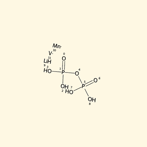 O=P(O)(O)OP(=O)(O)O.[LiH].[Mn].[V]